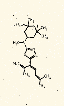 C=C(C)/C(=C\C=C(C)C)c1nnc(N(C)C2CC(C)(C)NC(C)(C)C2)s1